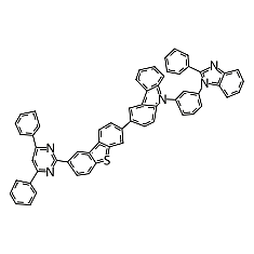 c1ccc(-c2cc(-c3ccccc3)nc(-c3ccc4sc5cc(-c6ccc7c(c6)c6ccccc6n7-c6cccc(-n7c(-c8ccccc8)nc8ccccc87)c6)ccc5c4c3)n2)cc1